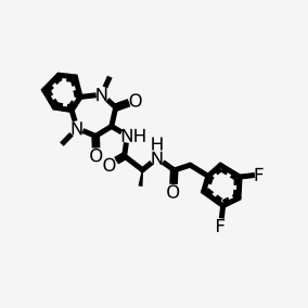 C[C@H](NC(=O)Cc1cc(F)cc(F)c1)C(=O)NC1C(=O)N(C)c2ccccc2N(C)C1=O